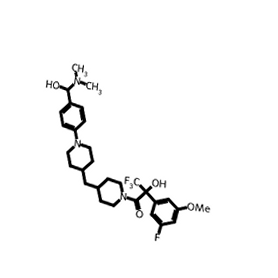 COc1cc(F)cc(C(O)(C(=O)N2CCC(CC3CCN(c4ccc(C(O)N(C)C)cc4)CC3)CC2)C(F)(F)F)c1